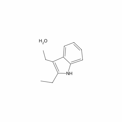 CCc1[nH]c2ccccc2c1CC.O